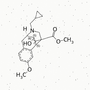 COC(=O)C1C[C@]23CCN(CC4CC4)[C@H](Cc4ccc(OC)cc42)[C@]3(O)C1